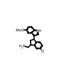 COc1ccc2[nH]cc(C3CC(CN)c4cc(Cl)ccc43)c2c1